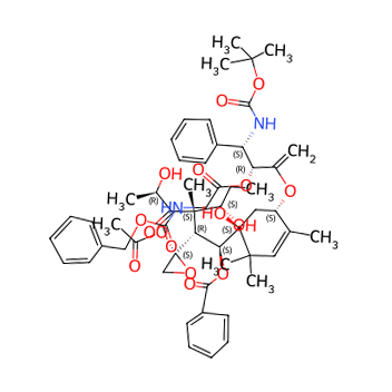 C=C(O[C@H]1C[C@@](O)([C@@H](OC(=O)c2ccccc2)[C@H]([C@]2(OC(C)=O)CO2)[C@](C)(C(=O)[C@@H](C)O)[C@@H](O)CC)C(C)(C)C=C1C)[C@H](OC(=O)CNC(=O)OCc1ccccc1)[C@@H](NC(=O)OC(C)(C)C)c1ccccc1